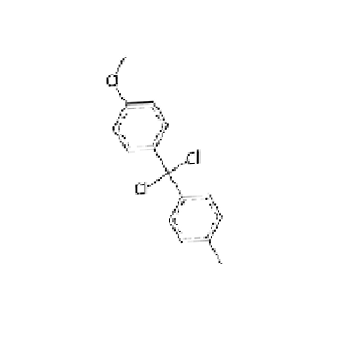 COc1ccc(C(Cl)(Cl)c2ccc(C)cc2)cc1